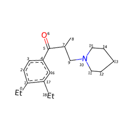 CCc1ccc(C(=O)C(C)CN2CCCCC2)cc1CC